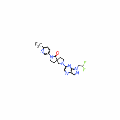 O=C1N(c2ccc(C(F)(F)F)nc2)CCC12CCN(c1cnc3cnn(CC(F)F)c3n1)C2